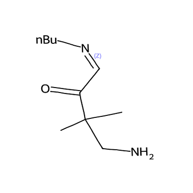 CCCC/N=C\C(=O)C(C)(C)CN